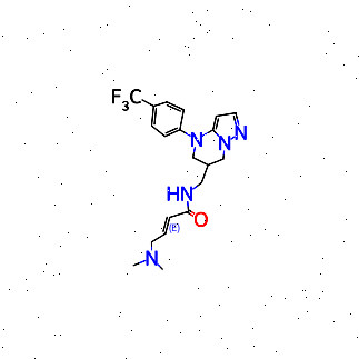 CN(C)C/C=C/C(=O)NCC1CN(c2ccc(C(F)(F)F)cc2)c2ccnn2C1